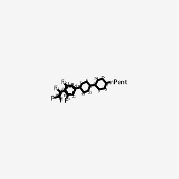 CCCCCC1CCC(C2CCC(c3cc(F)c(C(F)=C(F)F)c(F)c3)CC2)CC1